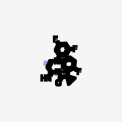 N=C(/C=C\Nc1cc(F)cc(F)c1)NC(=O)C1(c2ccccc2F)CC1